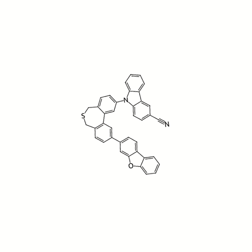 N#Cc1ccc2c(c1)c1ccccc1n2-c1ccc2c(c1)-c1cc(-c3ccc4c(c3)oc3ccccc34)ccc1CSC2